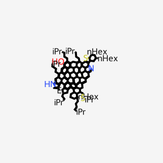 CCCCCCC1CC(CCCCCC)C2SC3=C(C4=NC=C5C=C6C=C7CC8c9c(c%10c%11c(c%12c%13c%10c%10c9=C7C7C9=C%14C%15=C%16C(=C3C(CCCC(C)C)=C3Cc%17c(CCCC(C)C)c(O)c%18cc%19c%20c%21c%18c%17C(C3%16)C%14C%21C(C%13=C%20C3C(=C%19CCCC(C)C)C=c%13[nH]cc(CC)c%13=C%123)C=%109)C4C5C%15C67)CC(CCC(C)C)C%11)C3CCCC(CCCCCC)(CCCCC(C)C)C3C8CSC(C)C)C2C1